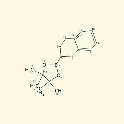 CC1(C)OB(C2=Cc3ccccc3CC2)OC1(C)C